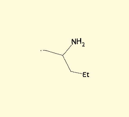 [CH2]CCC([CH2])N